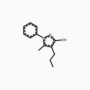 CCCc1c(O)nn(-c2ccccc2)c1C